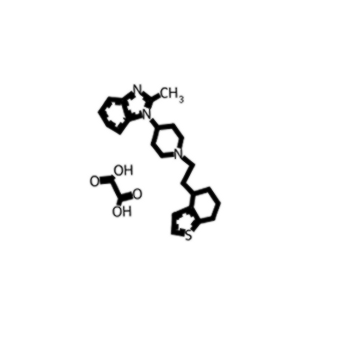 Cc1nc2ccccc2n1C1CCN(CCC2CCCc3sccc32)CC1.O=C(O)C(=O)O